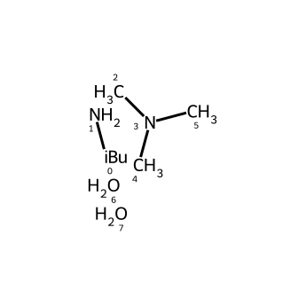 CCC(C)N.CN(C)C.O.O